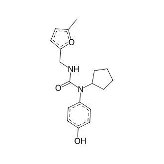 Cc1ccc(CNC(=O)N(c2ccc(O)cc2)C2CCCC2)o1